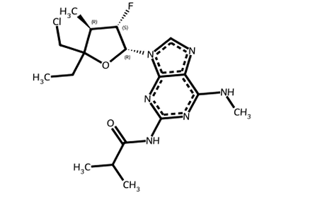 CCC1(CCl)O[C@@H](n2cnc3c(NC)nc(NC(=O)C(C)C)nc32)[C@@H](F)[C@@H]1C